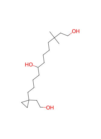 CC(C)(CCO)CCCCC(O)CCCCC1(CCO)CC1